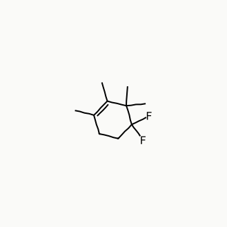 CC1=C(C)C(C)(C)C(F)(F)CC1